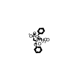 COP(=O)(CP(=O)(OC)Oc1ccccc1)Oc1ccccc1.O.O